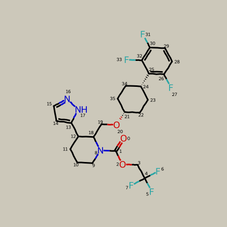 O=C(OCC(F)(F)F)N1CCCC(c2ccn[nH]2)C1CO[C@H]1CC[C@@H](c2c(F)ccc(F)c2F)CC1